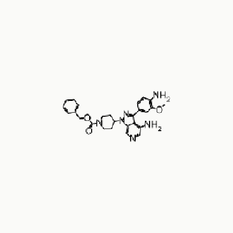 COc1cc(-c2nn(C3CCN(C(=O)OCc4ccccc4)CC3)c3cncc(N)c23)ccc1N